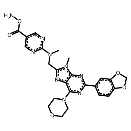 CN(Cc1nc2c(N3CCOCC3)nc(-c3ccc4c(c3)OCO4)nc2n1C)c1ncc(C(=O)ON)cn1